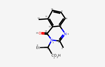 CCC(C(=O)O)n1c(C)nc2cccc(C)c2c1=O